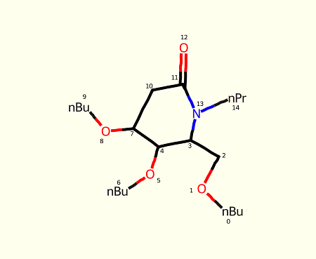 CCCCOCC1C(OCCCC)C(OCCCC)CC(=O)N1CCC